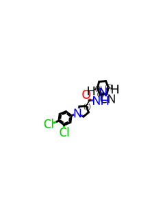 N#CN1[C@H]2CC[C@@H]1[C@H](NC(=O)[C@H]1CCN(c3ccc(Cl)c(Cl)c3)C1)C2